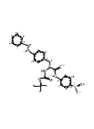 CC(C)(C)OC(=O)N[C@@H](Cc1ccc(OCc2ccccc2)cc1)C(=O)Oc1ccc([N+](=O)[O-])cc1